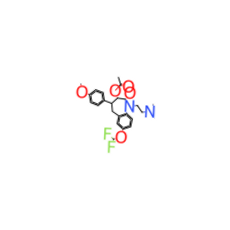 COc1ccc(C2Cc3cc(OC(F)F)ccc3N(CCN(C)C)C(=O)C2OC(C)=O)cc1